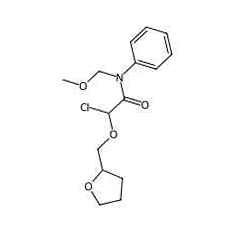 COCN(C(=O)C(Cl)OCC1CCCO1)c1ccccc1